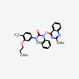 COCCOc1cc(N(OC)C(=O)N(Oc2nc(OC)nc3ccccc23)c2ccccc2)ccc1C(F)(F)F